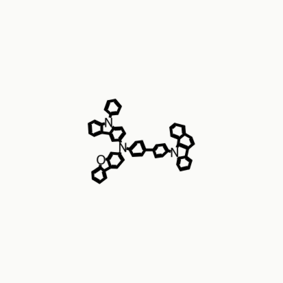 c1ccc(-n2c3ccccc3c3cc(N(c4ccc(-c5ccc(-n6c7ccccc7c7ccc8ccccc8c76)cc5)cc4)c4ccc5c(c4)oc4ccccc45)ccc32)cc1